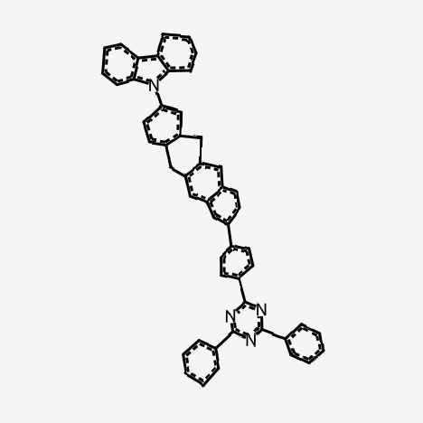 c1ccc(-c2nc(-c3ccccc3)nc(-c3ccc(-c4ccc5cc6c(cc5c4)Cc4ccc(-n5c7ccccc7c7ccccc75)cc4C6)cc3)n2)cc1